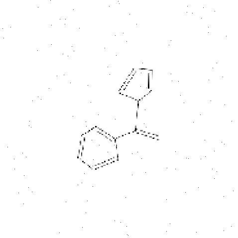 C=C([C]1C=CC=C1)c1ccccc1